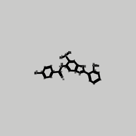 CCN(CC)c1cc2[nH]c(-c3ccccc3OC)nc2cc1NC(=O)c1ccc(Br)cc1